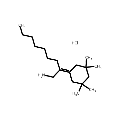 CCCCCCCC(CN)=C1CC(C)(C)CC(C)(C)C1.Cl